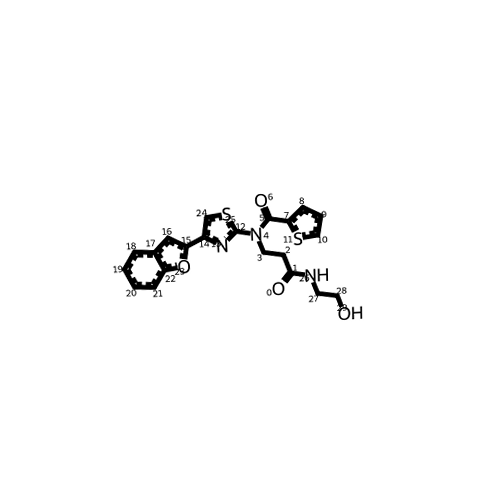 O=C(CCN(C(=O)c1cccs1)c1nc(-c2cc3ccccc3o2)cs1)NCCO